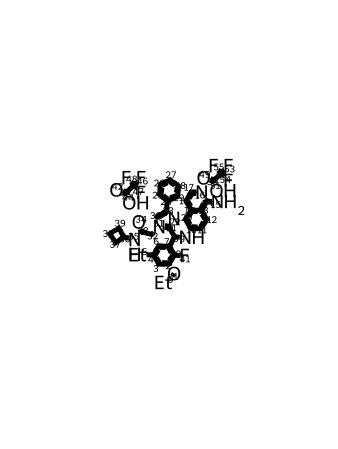 CCOc1cc(CC)cc(C(Nc2ccc3c(N)nccc3c2)c2nc(-c3ccccc3)cn2CC(=O)NC2CCC2)c1F.O=C(O)C(F)(F)F.O=C(O)C(F)(F)F